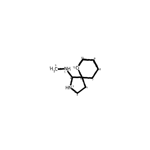 CNC1NCCC12CCCCO2